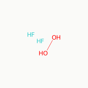 F.F.OO